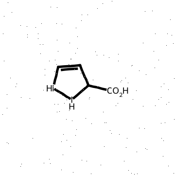 O=C(O)C1C=C[IH][IH]1